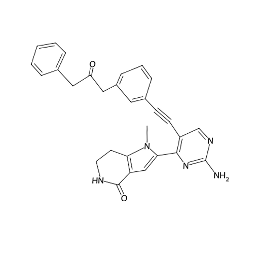 Cn1c(-c2nc(N)ncc2C#Cc2cccc(CC(=O)Cc3ccccc3)c2)cc2c1CCNC2=O